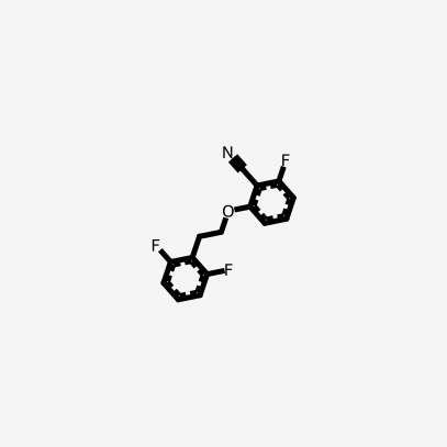 N#Cc1c(F)cccc1OCCc1c(F)cccc1F